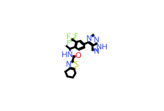 CC(NC(=O)c1nc2c(s1)CCCC2)c1ccc(-c2ncnc3[nH]ncc23)cc1C(F)(F)F